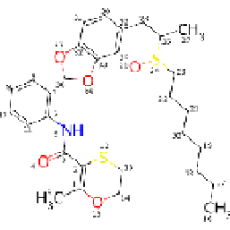 CC1=C(C(=O)Nc2ccccc2)SCCO1.CCCCCCCC[S+]([O-])C(C)Cc1ccc2c(c1)OCO2